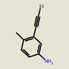 CCC#Cc1cc(N)ccc1C